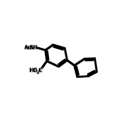 CC(=O)Nc1ccc(-c2ccccc2)cc1C(=O)O